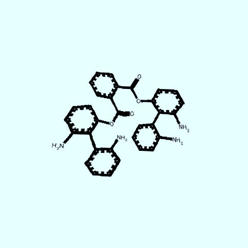 Nc1ccccc1-c1c(N)cccc1OC(=O)c1ccccc1C(=O)Oc1cccc(N)c1-c1ccccc1N